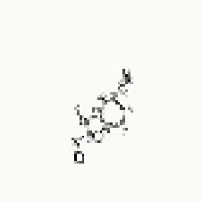 Cc1c(C=O)oc2ccc(C#N)cc12